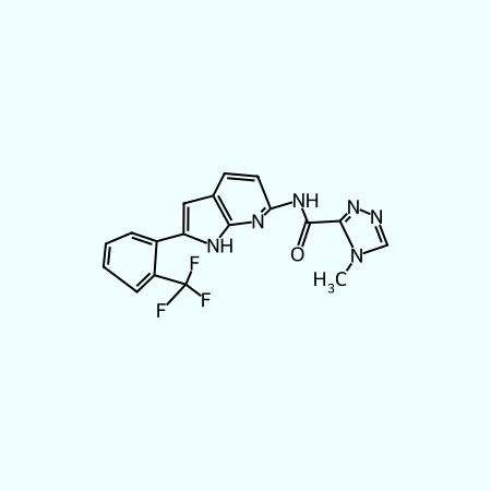 Cn1cnnc1C(=O)Nc1ccc2cc(-c3ccccc3C(F)(F)F)[nH]c2n1